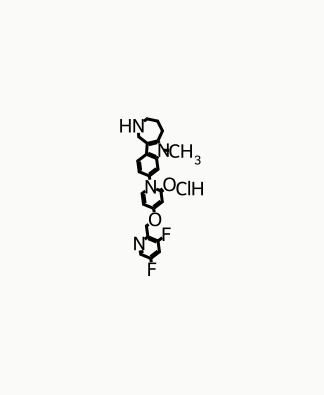 Cl.Cn1c2c(c3ccc(-n4ccc(OCc5ncc(F)cc5F)cc4=O)cc31)CNCCC2